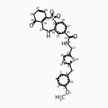 COc1cccc(Cc2ncc(CNC(=O)c3ccc4c(c3)NCC3=C(C=CCC3=O)S4(=O)=O)s2)c1